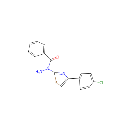 NN(C(=O)c1ccccc1)c1nc(-c2ccc(Cl)cc2)cs1